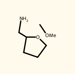 COC.NCC1CCCO1